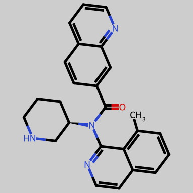 Cc1cccc2ccnc(N(C(=O)c3ccc4cccnc4c3)[C@@H]3CCCNC3)c12